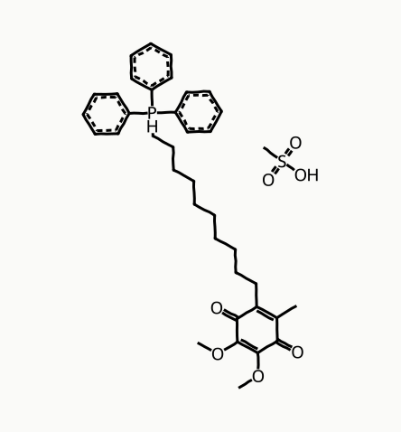 COC1=C(OC)C(=O)C(CCCCCCCCCC[PH](c2ccccc2)(c2ccccc2)c2ccccc2)=C(C)C1=O.CS(=O)(=O)O